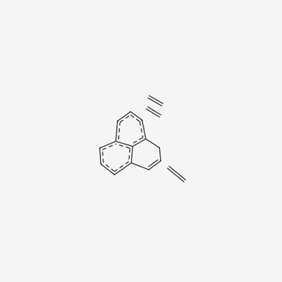 C1=Cc2cccc3cccc(c23)C1.C=C.C=C.C=C